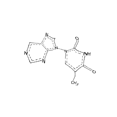 Cc1cn(-n2cnc3cncnc32)c(=O)[nH]c1=O